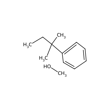 CCC(C)(C)c1ccccc1.CO